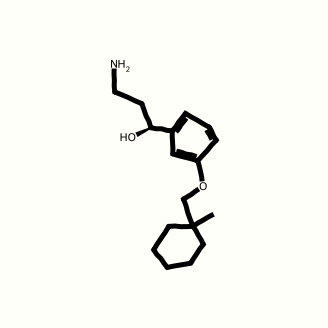 CC1(COc2cccc([C@@H](O)CCN)c2)CCCCC1